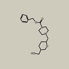 O=C(OCc1ccccc1)N1CCN(CC2CCC(CO)CO2)CC1